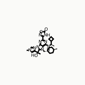 C[C@@H](Nc1nc(-c2noc(=O)[nH]2)nc2nc(C(C)(O)c3cn(C)cn3)n(C[C@H]3CC[C@H](C)CC3)c12)C1CCC1